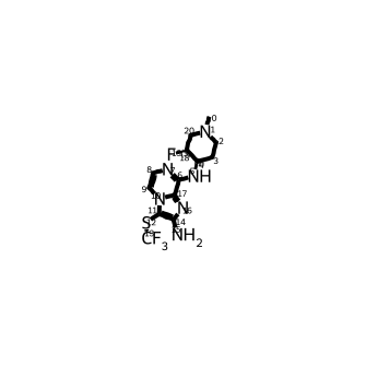 CN1CC[C@@H](Nc2nccn3c(SC(F)(F)F)c(N)nc23)[C@@H](F)C1